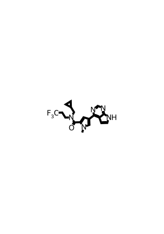 Cn1cc(-c2ncnc3[nH]ccc23)cc1C(=O)N(CCC(F)(F)F)CC1CC1